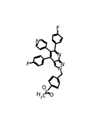 CS(=O)(=O)c1ccc(Cn2cc3c(-c4ccc(F)cc4)c(-c4ccncc4)c(-c4ccc(F)cc4)nc3n2)cc1